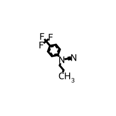 CCCN(C#N)c1ccc(C(F)(F)F)cc1